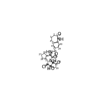 O=C1CCCc2cc(C(=O)N[C@H](C(=O)N3C[C@H](Cl)[C@H]4OCC(=O)[C@H]43)C3CCCC3)ccc2N1